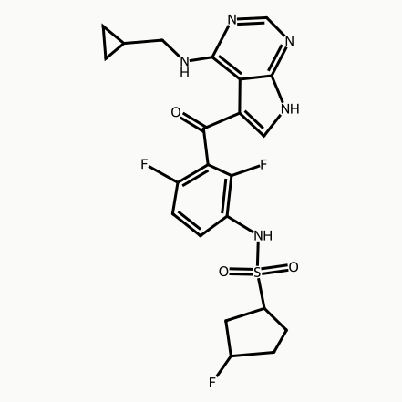 O=C(c1c(F)ccc(NS(=O)(=O)C2CCC(F)C2)c1F)c1c[nH]c2ncnc(NCC3CC3)c12